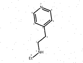 CCNCCc1ccncc1